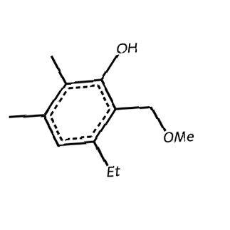 CCc1cc(C)c(C)c(O)c1COC